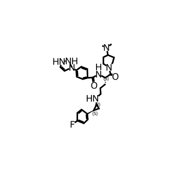 CN(C)C1CCN(C(=O)[C@H](CCCN[C@@H]2C[C@H]2c2ccc(F)cc2)NC(=O)c2ccc(N3C=CNN3)cc2)CC1